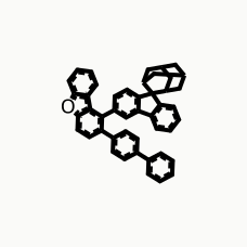 c1ccc(-c2ccc(-c3ccc4oc5ccccc5c4c3-c3ccc4c(c3)-c3ccccc3C43C4CC5CC(C4)CC3C5)cc2)cc1